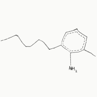 CCCCCc1cccc(C)c1N